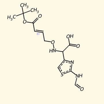 CC(C)(C)OC(=O)/C=C/CONC(C(=O)O)c1csc(NC=O)n1